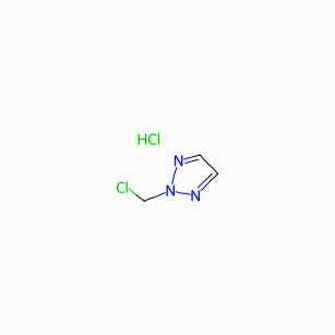 Cl.ClCn1nccn1